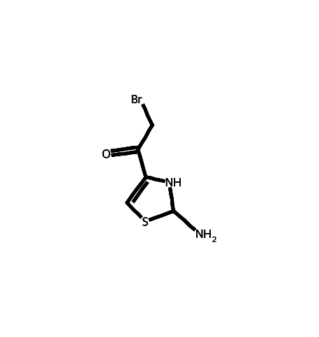 NC1NC(C(=O)CBr)=CS1